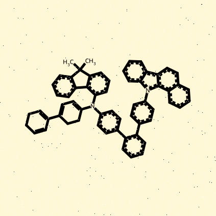 CC1(C)c2ccccc2-c2c(N(C3=CC=C(C4=CCCC=C4)CC3)c3ccc(-c4ccccc4-c4ccc(-n5c6ccccc6c6ccc7ccccc7c65)cc4)cc3)cccc21